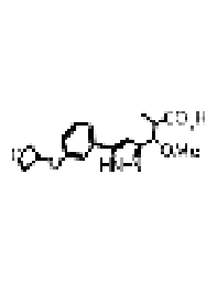 COC(c1cc(-c2cccc(OC3COC3)c2)[nH]n1)C(C)C(=O)O